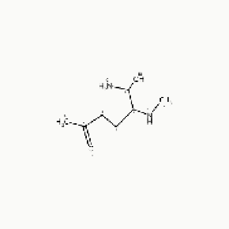 CNC(CCC(C)=O)C(N)O